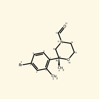 Cc1cc(Br)ccc1[C@]1(C)CN(C=O)CCO1